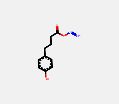 N=NOC(=O)CCCc1ccc(O)cc1